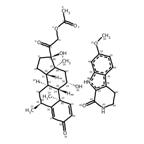 CC(=O)OCC(=O)[C@@]1(O)CC[C@H]2[C@@H]3C[C@H](C)C4=CC(=O)C=C[C@]4(C)[C@H]3[C@@H](O)C[C@@]21C.COc1ccc2c3c([nH]c2c1)C(=O)NCC3